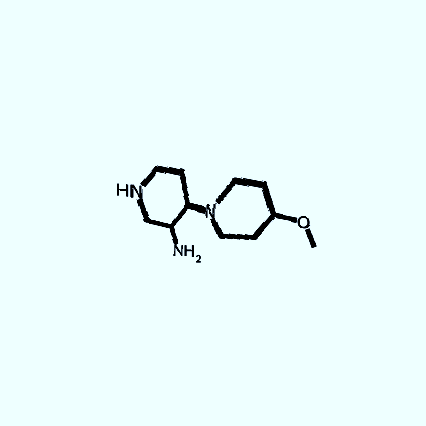 COC1CCN(C2CCNCC2N)CC1